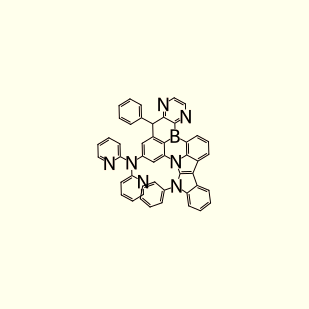 c1ccc(C2c3cc(N(c4ccccn4)c4ccccn4)cc4c3B(c3nccnc32)c2cccc3c5c6ccccc6n(-c6ccccc6)c5n-4c23)cc1